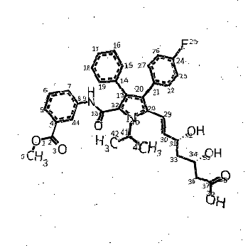 COC(=O)c1cccc(NC(=O)c2c(-c3ccccc3)c(-c3ccc(F)cc3)c(/C=C/[C@H](O)C[C@H](O)CC(=O)O)n2C(C)C)c1